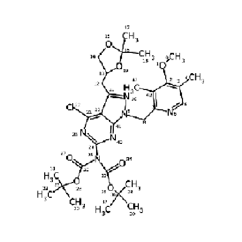 COc1c(C)cnc(Cn2nc(CC3COC(C)(C)O3)c3c(Cl)nc(N(C(=O)OC(C)(C)C)C(=O)OC(C)(C)C)nc32)c1C